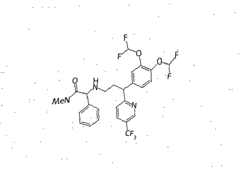 CNC(=O)C(NCCC(c1ccc(OC(F)F)c(OC(F)F)c1)c1ccc(C(F)(F)F)cn1)c1ccccc1